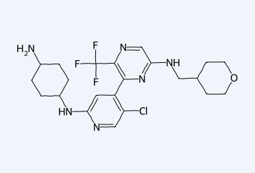 NC1CCC(Nc2cc(-c3nc(NCC4CCOCC4)cnc3C(F)(F)F)c(Cl)cn2)CC1